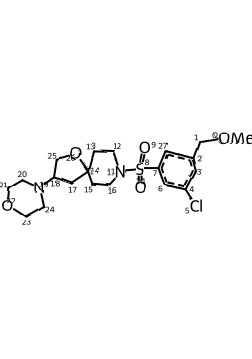 COCc1cc(Cl)cc(S(=O)(=O)N2CCC3(CC2)CC(N2CCOCC2)CO3)c1